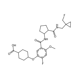 COc1cc(F)c(OC2CCC(C(=O)O)CC2)cc1C(=O)NC1CCCC1C(=O)NCC1(CF)CC1